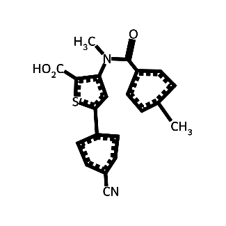 Cc1ccc(C(=O)N(C)c2cc(-c3ccc(C#N)cc3)sc2C(=O)O)cc1